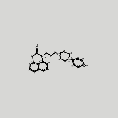 O=C1Cc2cccc3cccc(c23)N1CCCN1CCN(c2ccc(F)cc2)CC1